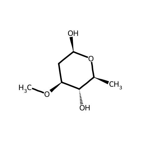 CO[C@H]1C[C@@H](O)O[C@@H](C)[C@@H]1O